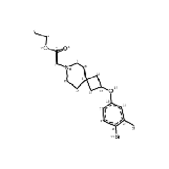 CCOC(=O)CN1CCC2(CC1)CC(Oc1ccc(Br)c(C)c1)C2